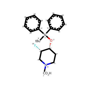 CC(C)(C)[Si](O[C@@H]1CCN(C(=O)O)C[C@@H]1F)(c1ccccc1)c1ccccc1